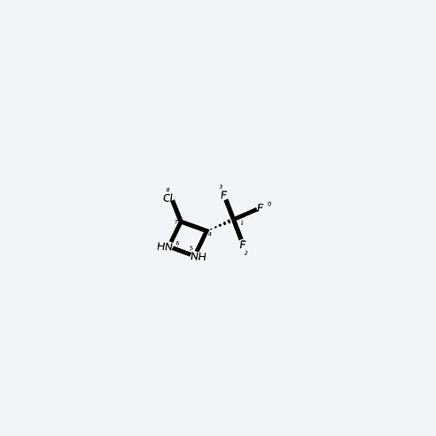 FC(F)(F)[C@@H]1NNC1Cl